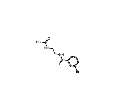 O=C(O)NCCNC(=O)c1cccc(Br)n1